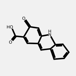 O=C(O)c1cc2cc3ccccc3[nH]c-2cc1=O